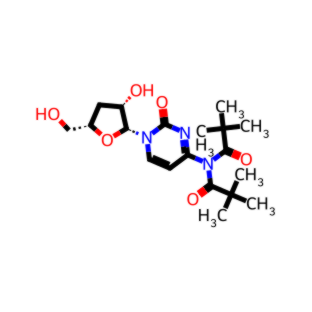 CC(C)(C)C(=O)N(C(=O)C(C)(C)C)c1ccn([C@@H]2O[C@H](CO)C[C@@H]2O)c(=O)n1